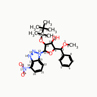 COC(c1ccccc1)C1OC(n2nnc3c([N+](=O)[O-])cccc32)C(O[Si](C)(C)C(C)(C)C)C1O